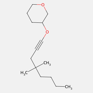 CCCCC(C)(C)CC#COC1CCCOC1